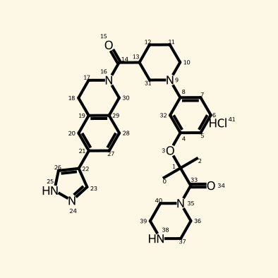 CC(C)(Oc1cccc(N2CCCC(C(=O)N3CCc4cc(-c5cn[nH]c5)ccc4C3)C2)c1)C(=O)N1CCNCC1.Cl